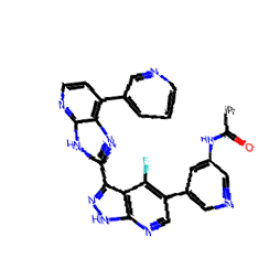 CC(C)C(=O)Nc1cncc(-c2cnc3[nH]nc(-c4nc5c(-c6cccnc6)ccnc5[nH]4)c3c2F)c1